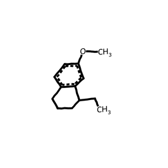 CCC1CCCc2ccc(OC)cc21